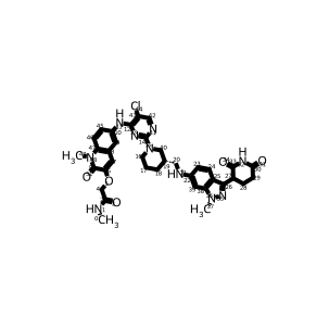 CNC(=O)COc1cc2cc(Nc3nc(N4CCC[C@@H](CNc5ccc6c(C7CCC(=O)NC7=O)nn(C)c6c5)C4)ncc3Cl)ccc2n(C)c1=O